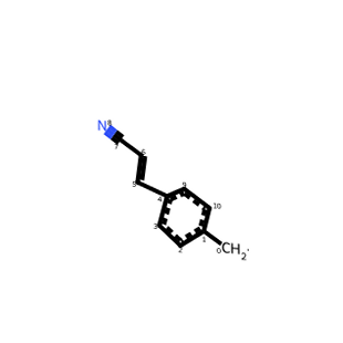 [CH2]c1ccc(/C=C/C#N)cc1